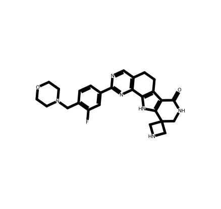 O=C1NCC2(CNC2)c2[nH]c3c(c21)CCc1cnc(-c2ccc(CN4CCOCC4)c(F)c2)nc1-3